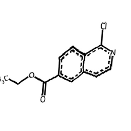 CCOC(=O)c1ccc2c(Cl)nccc2c1